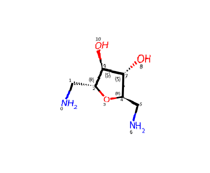 NC[C@H]1O[C@H](CN)[C@@H](O)[C@@H]1O